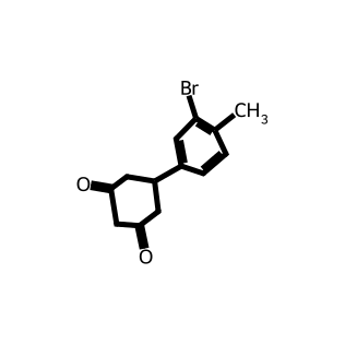 Cc1ccc(C2CC(=O)CC(=O)C2)cc1Br